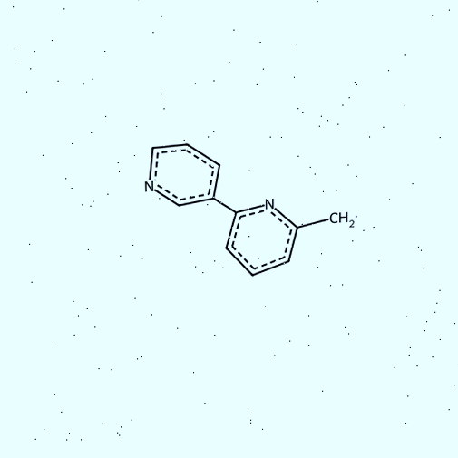 [CH2]c1cccc(-c2cccnc2)n1